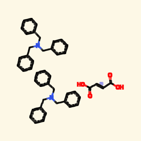 O=C(O)/C=C/C(=O)O.c1ccc(CN(Cc2ccccc2)Cc2ccccc2)cc1.c1ccc(CN(Cc2ccccc2)Cc2ccccc2)cc1